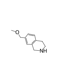 COCc1ccc2c(c1)CNCC2